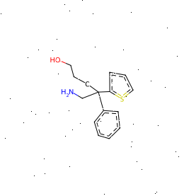 NCC(CCCO)(c1ccccc1)c1cccs1